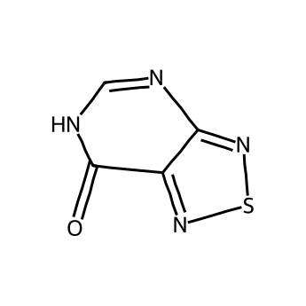 O=c1[nH]cnc2nsnc12